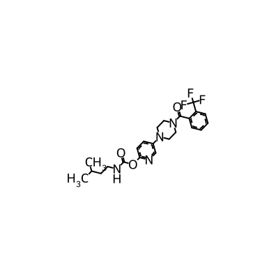 CC(C)CCNC(=O)Oc1ccc(N2CCN(C(=O)c3ccccc3C(F)(F)F)CC2)cn1